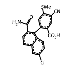 CSc1cc(-c2c(C(N)=O)ccc3cc(Cl)ccc23)c(C(=O)O)cc1C#N